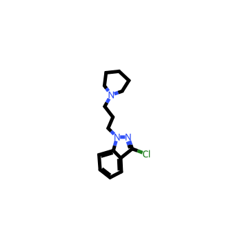 Clc1nn(CCCN2CCCCC2)c2ccccc12